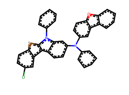 Clc1ccc2sc3c(c2c1)c1ccc(N(c2ccccc2)c2ccc4oc5ccccc5c4c2)cc1n3-c1ccccc1